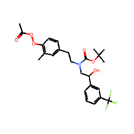 CC(=O)OOc1ccc(CCN(CC(O)c2cccc(C(F)(F)F)c2)C(=O)OC(C)(C)C)cc1C